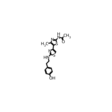 CC(=O)Nc1nc(C)c(-c2csc(NCCc3ccc(O)cc3)n2)s1